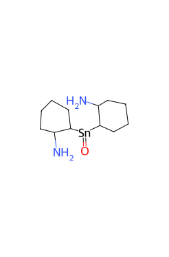 NC1CCCC[CH]1[Sn](=[O])[CH]1CCCCC1N